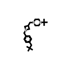 CC(C)(C)Cc1ccc(CN2CC(CN3CCN(C(C)(C)C)CC3)C2)cc1